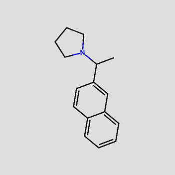 CC(c1ccc2ccccc2c1)N1CCCC1